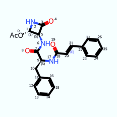 CC(=O)O[C@@H]1NC(=O)[C@H]1NC(=O)[C@H](Cc1ccccc1)NC(=O)/C=C/c1ccccc1